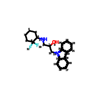 OC(CNC1CCCCC1(F)F)Cn1c2ccccc2c2ccccc21